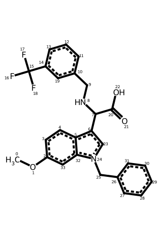 COc1ccc2c(C(NCc3cccc(C(F)(F)F)c3)C(=O)O)cn(Cc3ccccc3)c2c1